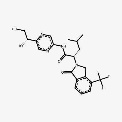 CC(C)C[C@@H](C(=O)Nc1cnc([C@H](O)CO)cn1)N1Cc2c(cccc2C(F)(F)F)C1=O